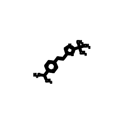 CC(C)c1ccc(/C=C/c2cnc(C(C)(C)C)s2)cc1